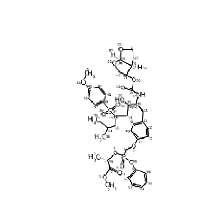 COC(=O)[C@H](C)OP(=O)(COc1ccc(C[C@H](NC(=O)O[C@H]2CO[C@H]3OCC[C@H]32)[C@H](O)CN(CC(C)C)S(=O)(=O)c2ccc(OC)cc2)cc1)Oc1ccccc1